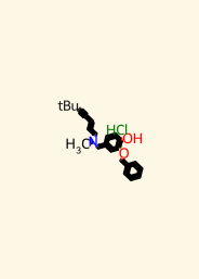 CN(CC=CC#CC(C)(C)C)Cc1ccc(O)c(OCc2ccccc2)c1.Cl